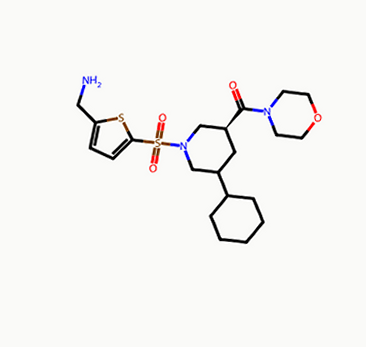 NCc1ccc(S(=O)(=O)N2CC(C3CCCCC3)C[C@H](C(=O)N3CCOCC3)C2)s1